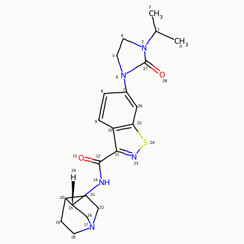 CC(C)N1CCN(c2ccc3c(C(=O)N[C@@H]4CN5CCC4CC5)nsc3c2)C1=O